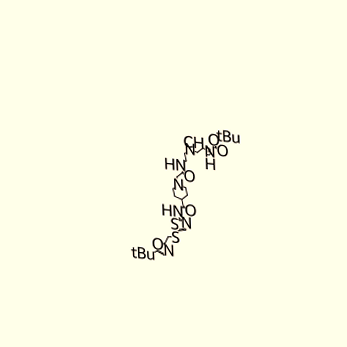 CN(CCNC(=O)CN1CCC(C(=O)Nc2ncc(SCc3ncc(C(C)(C)C)o3)s2)CC1)CCNC(=O)OC(C)(C)C